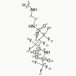 CNCCNS(=O)(=O)C(F)(F)C(F)(F)C(F)(F)S(=O)(=O)NS(=O)(=O)C(F)(F)F